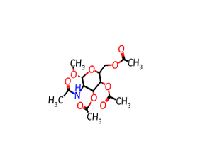 CO[C@@H]1OC(COC(C)=O)[C@@H](OC(C)=O)C(OC(C)=O)C1NC(C)=O